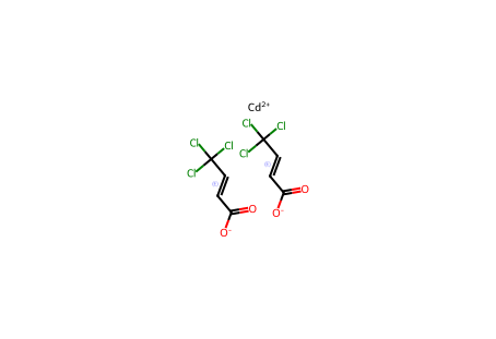 O=C([O-])/C=C/C(Cl)(Cl)Cl.O=C([O-])/C=C/C(Cl)(Cl)Cl.[Cd+2]